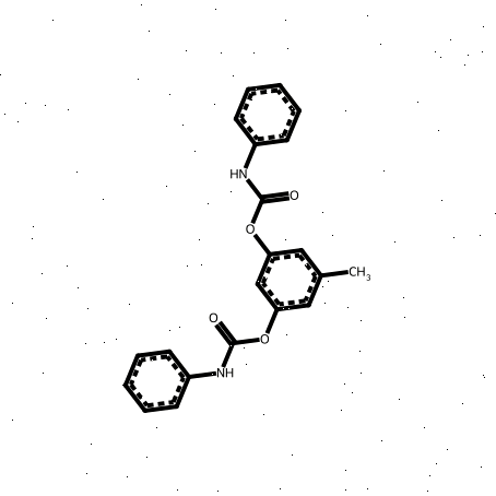 Cc1cc(OC(=O)Nc2ccccc2)cc(OC(=O)Nc2ccccc2)c1